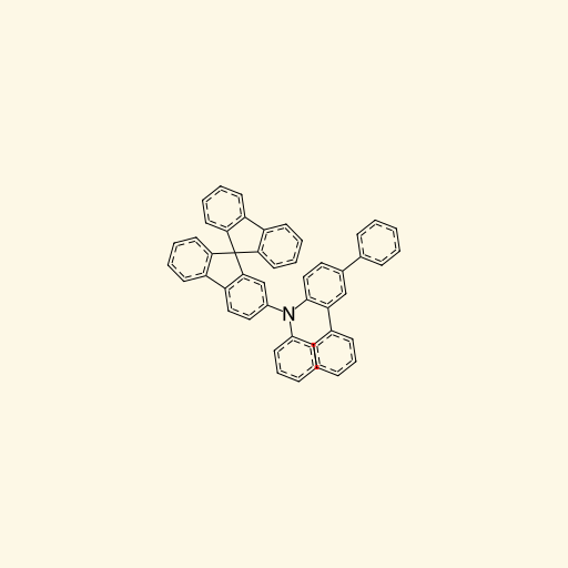 c1ccc(-c2ccc(N(c3ccccc3)c3ccc4c(c3)C3(c5ccccc5-c5ccccc53)c3ccccc3-4)c(-c3ccccc3)c2)cc1